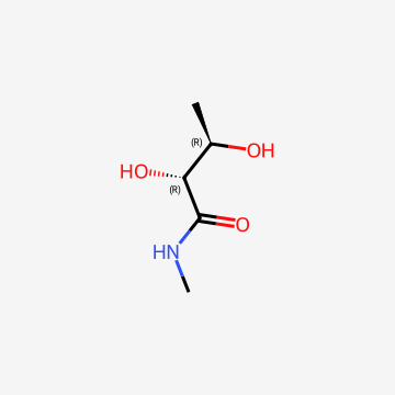 CNC(=O)[C@H](O)[C@@H](C)O